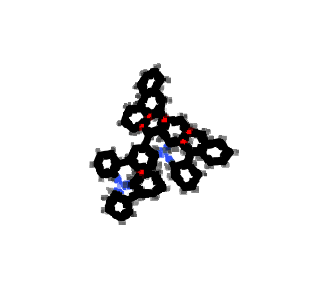 c1ccc(-c2cc(-c3ccccc3-n3c4ccccc4c4ccccc43)ccc2N(c2cccc(-c3cc4ccccc4c4ccccc34)c2)c2ccccc2-c2cccc3ccccc23)cc1